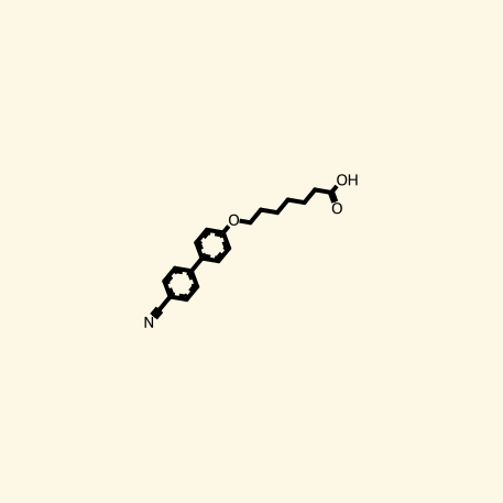 N#Cc1ccc(-c2ccc(OCCCCCCC(=O)O)cc2)cc1